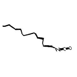 CCCCCCCCC=CN=C=O